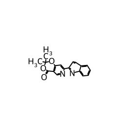 CC1(C)OC(=O)c2cnc(-c3ccc4ccccc4n3)cc2O1